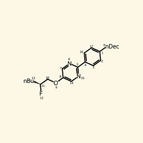 CCCCCCCCCCc1ccc(-c2ncc(OC[C@@H](F)CCCC)cn2)cc1